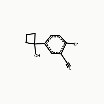 N#Cc1cc(C2(O)CCC2)ccc1Br